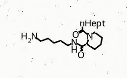 CCCCCCCC(=O)N1CCCCC1C(=O)NCCCCCN